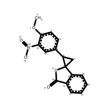 COc1ccc(C2CC23OC(=O)c2ccccc23)cc1[N+](=O)[O-]